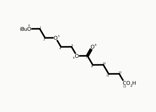 CC(C)COCCOCCOC(=O)CCCCC(=O)O